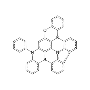 c1ccc(N2c3ccccc3B3c4c2cc2c5c4-n4c6c(cccc6c6cccc3c64)B5c3ccccc3O2)cc1